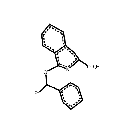 [CH2]CC(Oc1nc(C(=O)O)cc2ccccc12)c1ccccc1